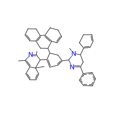 CC1=NC(C)=C2C=CC=CC2(C)C1C1=CC=C(C2N=C(c3ccccc3)CC(C3=CC=CCC3)N2C)CC1C1CC2=C(CCC=C2)C2=C1C=CCC2